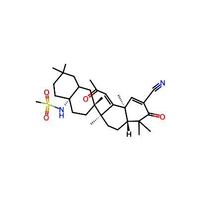 CC(=O)/C=C1/[C@@]2(C)C=C(C#N)C(=O)C(C)(C)[C@@H]2CC[C@@]1(C)[C@]1(C)CC[C@@]2(NS(C)(=O)=O)CCC(C)(C)CC2C1